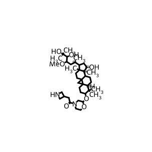 COC(C[C@@H](C)C1C[C@H](O)[C@@]2(C)C3CC[C@H]4C(C)(C)C(OC5CN(C(=O)CC6CNC6)CCO5)CCC45CC35CCC12C)C(O)C(C)(C)O